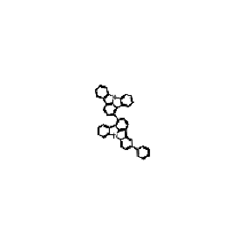 C1=Cc2c(c3ccc(-c4ccc5c6cc(-c7ccccc7)ccc6n6c7ccccc7c4c56)c4c5ccccc5n2c34)CC1